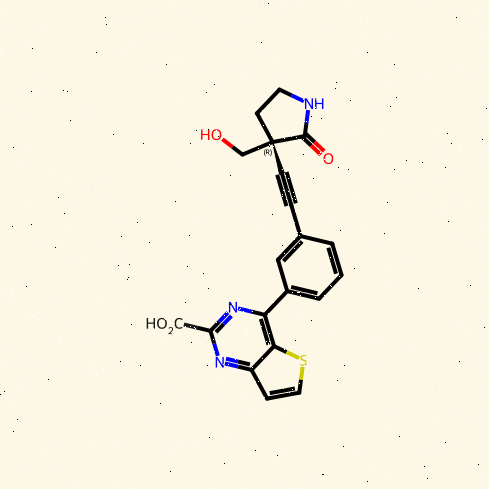 O=C(O)c1nc(-c2cccc(C#C[C@@]3(CO)CCNC3=O)c2)c2sccc2n1